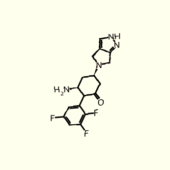 N[C@H]1C[C@@H](N2Cc3c[nH]nc3C2)CC(=O)C1c1cc(F)cc(F)c1F